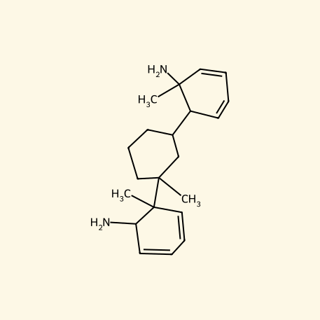 CC1(N)C=CC=CC1C1CCCC(C)(C2(C)C=CC=CC2N)C1